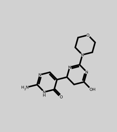 Nc1ncc(C2CC(O)=NC(N3CCOCC3)=N2)c(=O)[nH]1